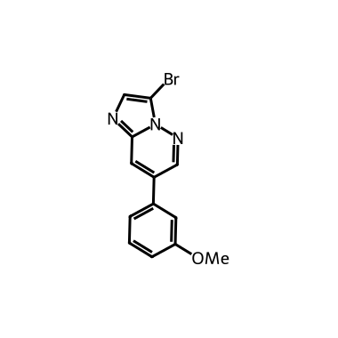 COc1cccc(-c2cnn3c(Br)cnc3c2)c1